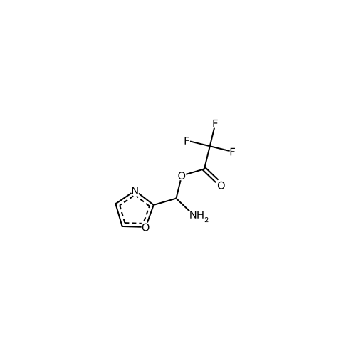 NC(OC(=O)C(F)(F)F)c1ncco1